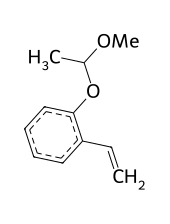 C=Cc1ccccc1OC(C)OC